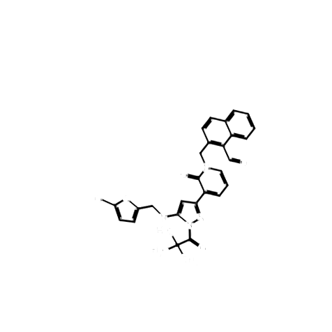 CC(C)(C)C(=O)n1nc(-c2cccn(Cc3ccc4ccccc4c3C=O)c2=O)cc1NCc1ccc(Cl)s1